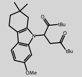 COc1ccc2c3c(n(C(CC(=O)C(C)(C)C)C(=O)C(C)(C)C)c2c1)CC(C)(C)CC3